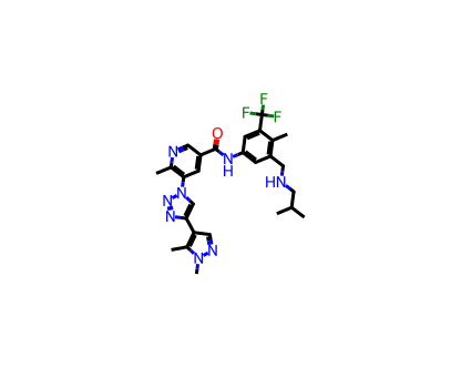 Cc1ncc(C(=O)Nc2cc(CNCC(C)C)c(C)c(C(F)(F)F)c2)cc1-n1cc(-c2cnn(C)c2C)nn1